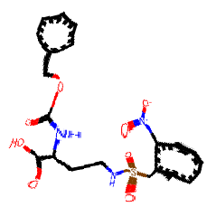 O=C(NC(CCNS(=O)(=O)c1ccccc1[N+](=O)[O-])C(=O)O)OCc1ccccc1